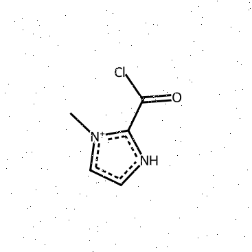 C[n+]1cc[nH]c1C(=O)Cl